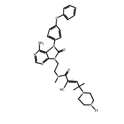 CCN1CCN(C(C)(C)/C=C(\C#N)C(=O)N(C)CCn2c(=O)n(-c3ccc(Oc4ccccc4)cc3)c3c(N)ncnc32)CC1